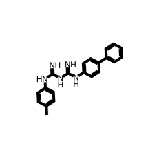 Cc1ccc(NC(=N)NC(=N)Nc2ccc(-c3ccccc3)cc2)cc1